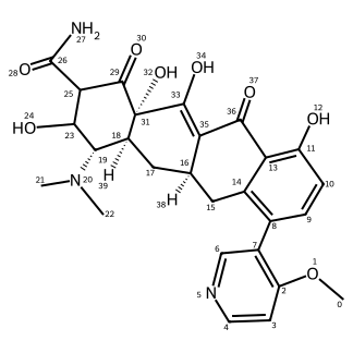 COc1ccncc1-c1ccc(O)c2c1C[C@H]1C[C@H]3[C@H](N(C)C)C(O)C(C(N)=O)C(=O)[C@@]3(O)C(O)=C1C2=O